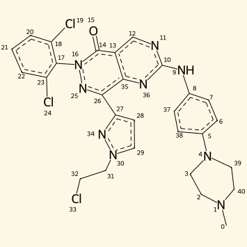 CN1CCN(c2ccc(Nc3ncc4c(=O)n(-c5c(Cl)cccc5Cl)nc(-c5ccn(CCCl)n5)c4n3)cc2)CC1